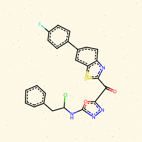 O=C(c1nnc(NC(Cl)Cc2ccccc2)o1)c1nc2ccc(-c3ccc(F)cc3)cc2s1